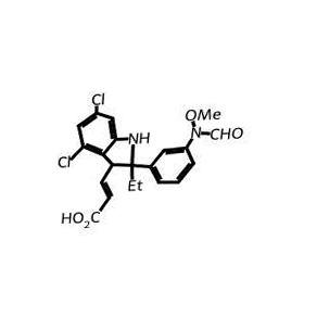 CCC1(c2cccc(N(C=O)OC)c2)Nc2cc(Cl)cc(Cl)c2C1C=CC(=O)O